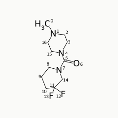 CN1CCN(C(=O)N2CCCC(F)(F)C2)CC1